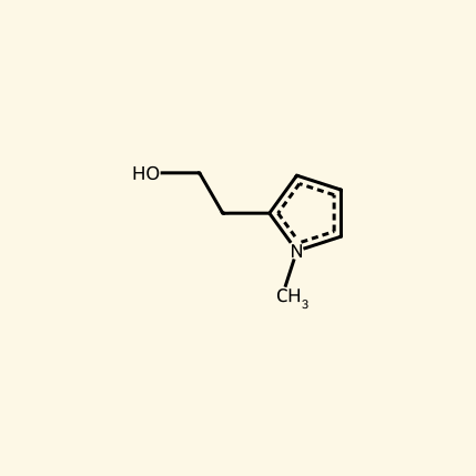 Cn1cccc1CCO